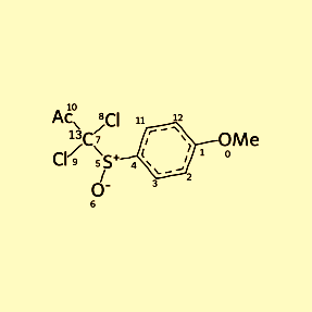 COc1ccc([S+]([O-])[13C](Cl)(Cl)[13C](C)=O)cc1